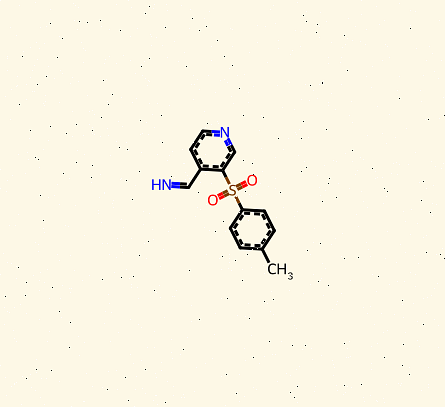 Cc1ccc(S(=O)(=O)c2cnccc2C=N)cc1